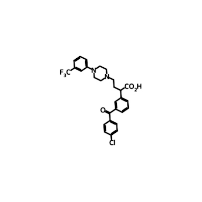 O=C(c1ccc(Cl)cc1)c1cccc(C(CCN2CCN(c3cccc(C(F)(F)F)c3)CC2)C(=O)O)c1